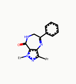 CCn1nc(C(C)C)c2c1C(=O)NCC(c1ccccc1)=N2